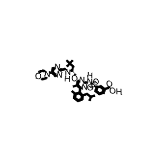 Cc1cccc(CC(C)C)c1-c1nc(NS(=O)(=O)c2cccc(C(=O)O)c2)nc(OC[C@@H](CC(C)(C)C)NCc2ncc(N3CCOCC3)cn2)c1C